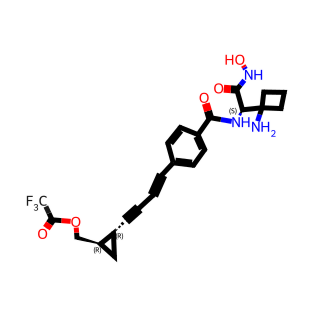 NC1([C@H](NC(=O)c2ccc(C#CC#C[C@@H]3C[C@H]3COC(=O)C(F)(F)F)cc2)C(=O)NO)CCC1